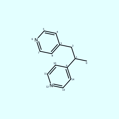 CC(Cc1ccncc1)c1ccncc1